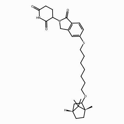 CC1(C)[C@@H]2CC[C@@]1(C)C(OCCCCCCCSc1ccc3c(c1)CN(C1CCC(=O)NC1=O)C3=O)C2